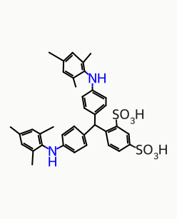 Cc1cc(C)c(Nc2ccc(C(c3ccc(Nc4c(C)cc(C)cc4C)cc3)c3ccc(S(=O)(=O)O)cc3S(=O)(=O)O)cc2)c(C)c1